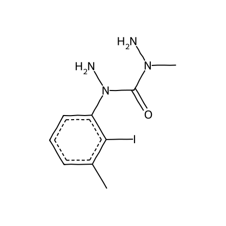 Cc1cccc(N(N)C(=O)N(C)N)c1I